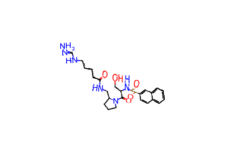 NN=CNCCCCC(=O)NCC1CCCN1C(=O)C(CO)NS(=O)(=O)c1ccc2ccccc2c1